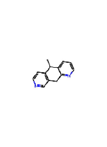 CC1c2ccncc2Cc2ncccc21